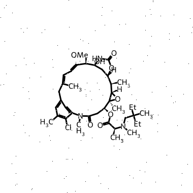 CCC(C)(CC)CN(C)[C@@H](C)C(=O)O[C@H]1CC(=O)N(C)c2cc(cc(C)c2Cl)C/C(C)=C/C=C/[C@@H](OC)[C@@]2(O)C[C@H](OC(=O)N2)[C@@H](C)[C@@H]2O[C@@]12C